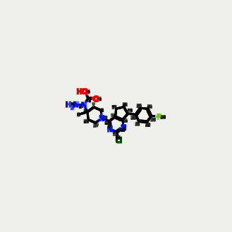 CC1(N(N)C(=O)O)CCN(c2nc(Cl)nc3c2CCC3c2ccc(F)cc2)CC1